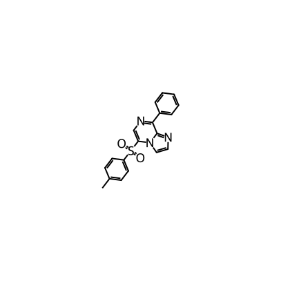 Cc1ccc(S(=O)(=O)c2cnc(-c3ccccc3)c3nccn23)cc1